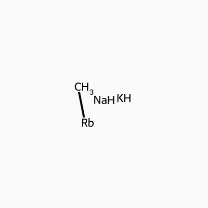 [CH3][Rb].[KH].[NaH]